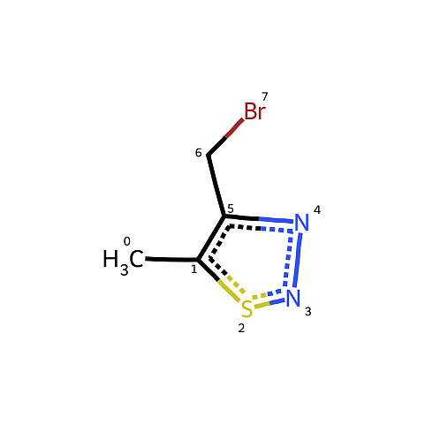 Cc1snnc1CBr